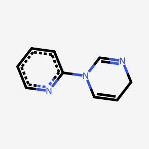 C1=CN(c2ccccn2)C=NC1